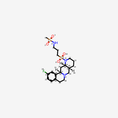 CS(=O)(=O)NCCCS(=O)(=O)N1CCC[C@@H]2CN3CCc4ccc(F)cc4[C@@H]3C[C@@H]21